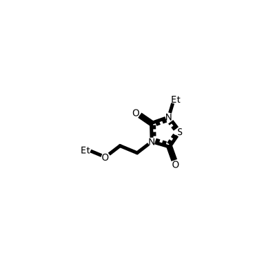 CCOCCn1c(=O)sn(CC)c1=O